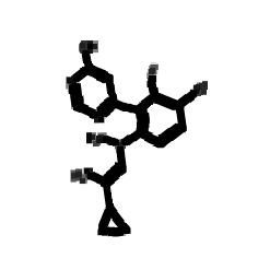 N/C(=C\N(N)c1ccc(Cl)c(F)c1-c1cc(O)ncn1)C1CC1